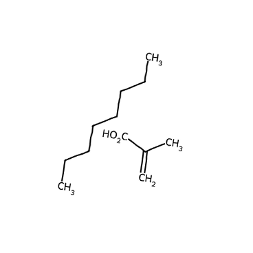 C=C(C)C(=O)O.CCCCCCCC